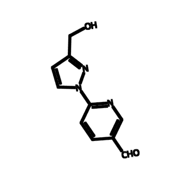 O=Cc1ccc(-n2ccc(CO)n2)nc1